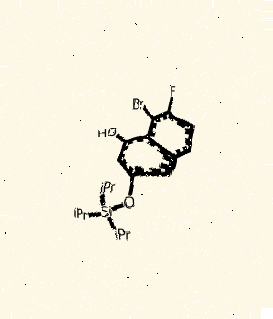 CC(C)[Si](Oc1cc(O)c2c(Br)c(F)ccc2c1)(C(C)C)C(C)C